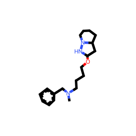 CN(CCCCOC1CC2CCCCN2N1)Cc1ccccc1